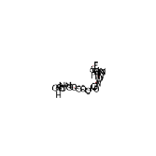 C#Cc1c(F)ccc2cccc(-c3ncc4c(N5CC6CCC(C5)N6)nc(OC[C@@]56CCCN5[C@H](COC(=O)N5CCC(OCCOCCOCCOCCOc7cccc(C(=O)N[C@H]8CCC(=O)NC8=O)c7)CC5)CC6)nc4c3F)c12